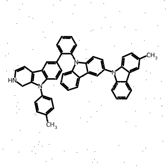 Cc1ccc(-n2c3c(c4cc(-c5ccccc5-n5c6ccccc6c6cc(-n7c8ccccc8c8cc(C)ccc87)ccc65)ccc42)C=CNC3)cc1